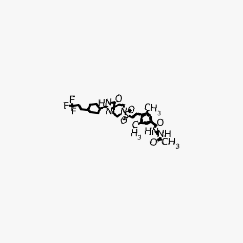 CC(=O)NNC(=O)c1cc(C)c(/C=C/S(=O)(=O)N2CCC3(CC2)N=C(C2CCC(CCC(F)(F)F)CC2)NC3=O)c(C)c1